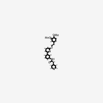 COc1ccc(CCOc2cccc(-c3cccc(NC(=O)Cc4ccncc4)c3)n2)cc1OC